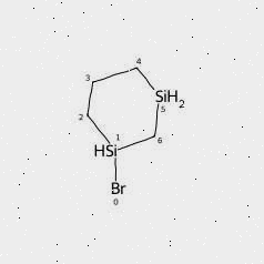 Br[SiH]1CCC[SiH2]C1